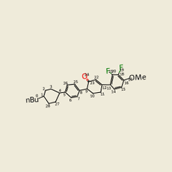 CCCCC1CCC(c2ccc(C3CCC(c4ccc(OC)c(F)c4F)=CC3=O)cc2)CC1